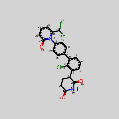 O=C1CCC(c2cccc(-c3ccc(-n4c(C(F)F)cccc4=O)cc3)c2Cl)C(=O)N1